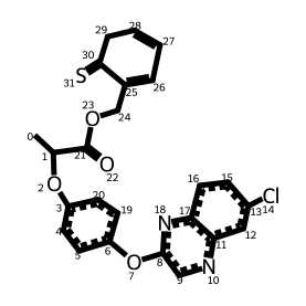 CC(Oc1ccc(Oc2cnc3cc(Cl)ccc3n2)cc1)C(=O)OCC1=CC=CCC1=S